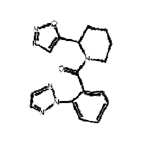 O=C(c1ccccc1-n1nccn1)N1CCCCC1c1cnno1